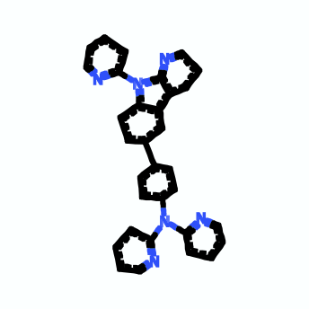 c1ccc(N(c2ccc(-c3ccc4c(c3)c3cccnc3n4-c3ccccn3)cc2)c2ccccn2)nc1